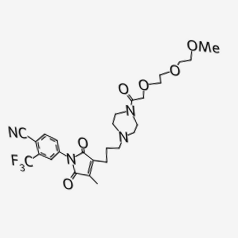 COCCOCCOCC(=O)N1CCN(CCCC2=C(C)C(=O)N(c3ccc(C#N)c(C(F)(F)F)c3)C2=O)CC1